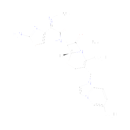 CO/N=C(\C(=O)N[C@@H]1C(=O)N2C(C(=O)O)=C(Cn3cc[n+]4cc(C(=O)O)ccc34)CS[C@H]12)c1csc(N)n1.[NaH]